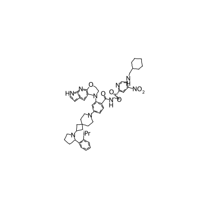 CC(C)c1ccccc1C1CCCN1C1CC2(CCN(c3ccc(C(=O)NS(=O)(=O)c4cc([N+](=O)[O-])c(NCC5CCCCC5)cn4)c(N4CCOc5nc6[nH]ccc6cc54)c3)CC2)C1